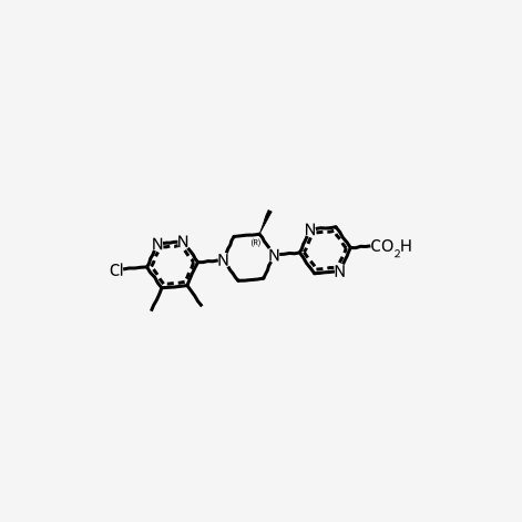 Cc1c(Cl)nnc(N2CCN(c3cnc(C(=O)O)cn3)[C@H](C)C2)c1C